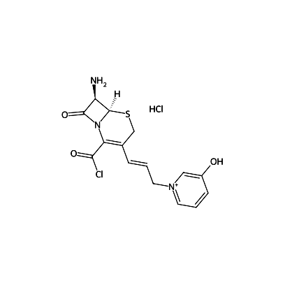 Cl.N[C@@H]1C(=O)N2C(C(=O)Cl)=C(/C=C/C[n+]3cccc(O)c3)CS[C@H]12